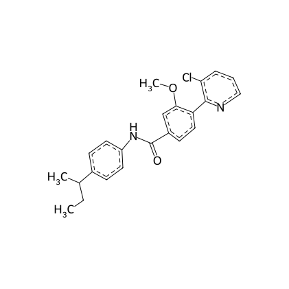 CCC(C)c1ccc(NC(=O)c2ccc(-c3ncccc3Cl)c(OC)c2)cc1